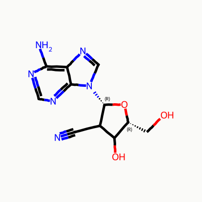 N#CC1C(O)[C@@H](CO)O[C@H]1n1cnc2c(N)ncnc21